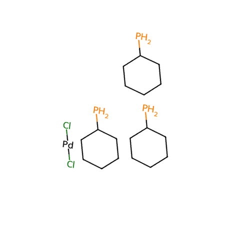 PC1CCCCC1.PC1CCCCC1.PC1CCCCC1.[Cl][Pd][Cl]